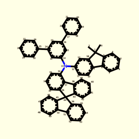 CC1(C)c2ccccc2-c2ccc(N(c3cc(-c4ccccc4)cc(-c4ccccc4)c3)c3cccc4c3-c3ccccc3C43c4ccccc4-c4ccccc43)cc21